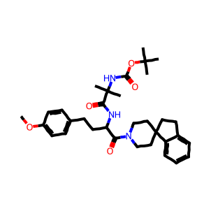 COc1ccc(CCC(NC(=O)C(C)(C)NC(=O)OC(C)(C)C)C(=O)N2CCC3(CCc4ccccc43)CC2)cc1